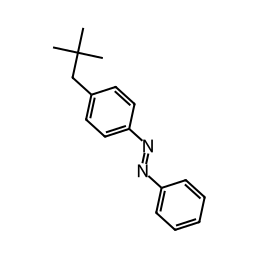 CC(C)(C)Cc1ccc(/N=N/c2ccccc2)cc1